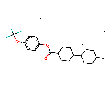 CC1CCC(C2CCC(C(=O)Oc3ccc(OC(F)(F)F)cc3)CC2)CC1